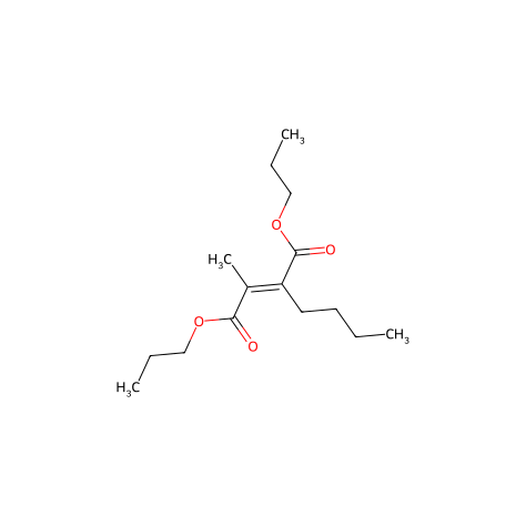 CCCCC(C(=O)OCCC)=C(C)C(=O)OCCC